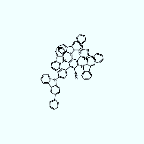 N#Cc1c(-c2ccc(-n3c4ccccc4c4cc(-c5ccccc5)ccc43)cc2)c(-n2c3ccccc3c3ccccc32)c(-n2c3ccccc3c3ccccc32)c(-c2nc(-c3ccccc3)nc(-c3ccccc3)n2)c1-n1c2ccccc2c2ccccc21